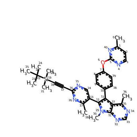 Cc1ccnc(Oc2ccc(-c3c(-c4cnc(C#C[Si](C)(C)C(C)(C)C)nc4C)n(C)c4ncnc(C)c34)cc2)n1